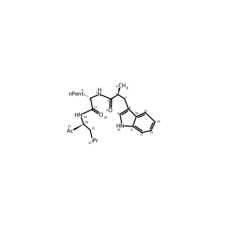 CCCCC[C@H](NC(=O)[C@@H](C)Cc1c[nH]c2ccccc12)C(=O)N[C@@H](CC(C)C)C(C)=O